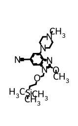 COc1nc2c(N3CCN(C)CC3)cc(C#N)cc2n1COCC[Si](C)(C)C